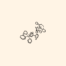 O=C(CN1C(=O)CCc2ccccc21)Nc1ccsc1-c1cn(C(c2ccccc2)(c2ccccc2)c2ccccc2I)cn1